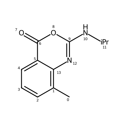 Cc1cccc2c(=O)oc(NC(C)C)nc12